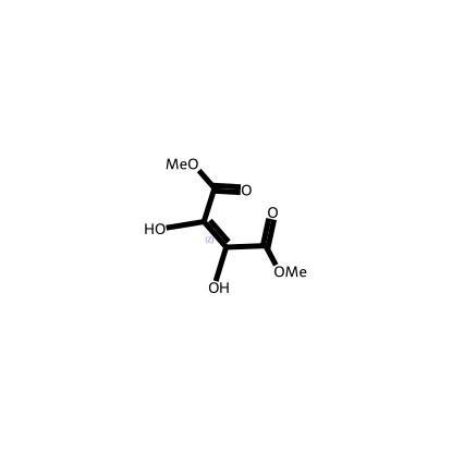 COC(=O)/C(O)=C(/O)C(=O)OC